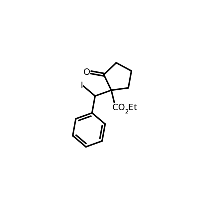 CCOC(=O)C1(C(I)c2ccccc2)CCCC1=O